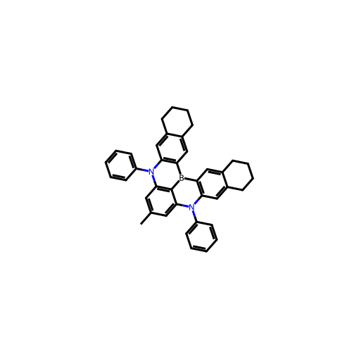 Cc1cc2c3c(c1)N(c1ccccc1)c1cc4c(cc1B3c1cc3c(cc1N2c1ccccc1)CCCC3)CCCC4